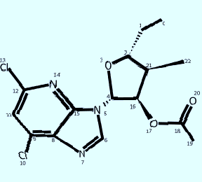 CC[C@H]1O[C@@H](n2cnc3c(Cl)cc(Cl)nc32)[C@H](OC(C)=O)[C@@H]1C